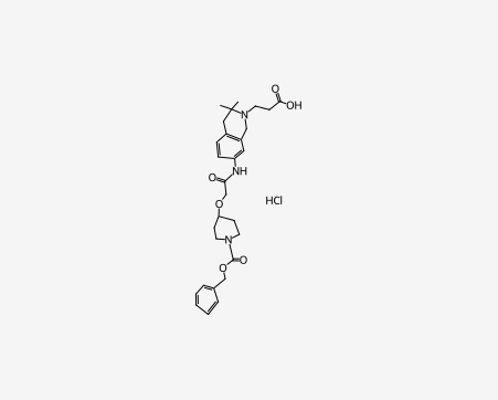 CC1(C)Cc2ccc(NC(=O)COC3CCN(C(=O)OCc4ccccc4)CC3)cc2CN1CCC(=O)O.Cl